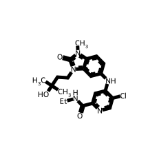 CCNC(=O)c1cc(Nc2ccc3c(c2)n(CCC(C)(C)O)c(=O)n3C)c(Cl)cn1